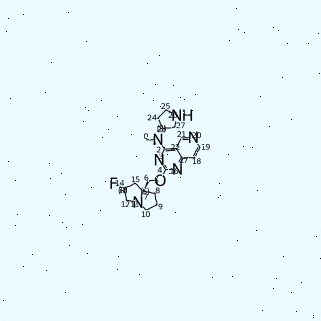 CN(c1nc(OC[C@@]23CCCN2C[C@H](F)C3)nc2ccncc12)[C@@H]1CCNC1